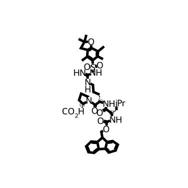 Cc1c(C)c(S(=O)(=O)NC(=N)NCCC[C@H](NC(=O)[C@H](CC(C)C)NC(=O)OCC2c3ccccc3-c3ccccc32)C(=O)N2CCC[C@H]2C(=O)O)c(C)c2c1OC(C)(C)C2